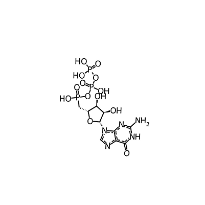 Nc1nc2c(ncn2[C@@H]2O[C@H](CP(=O)(O)OP(=O)(O)OP(=O)(O)O)[C@@H](O)[C@H]2O)c(=O)[nH]1